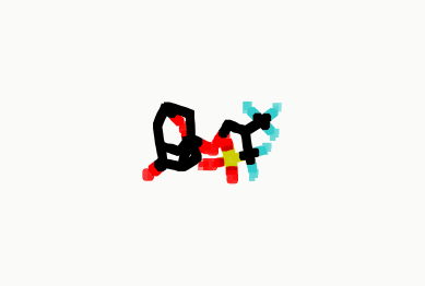 O=C1OC2CC3CC(OCC(C(F)(F)F)C(F)(F)S(=O)(=O)O)(C2)CC1C3=O